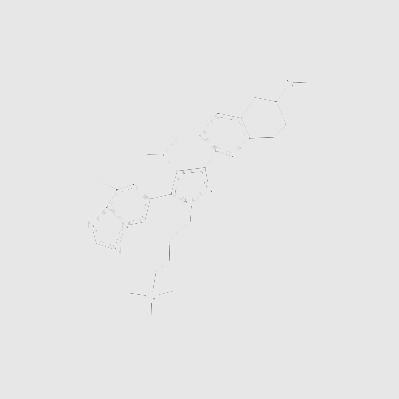 CNC1CCc2cc(-c3nn(COCC[Si](C)(C)C)c(-c4cc(C)c5ncnn5c4)c3C(C)C)ccc2C1